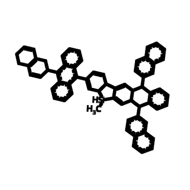 C[SiH]1C2=CC3C(c4ccc5ccccc5c4)c4ccccc4C(c4ccc5ccccc5c4)C3C=C2C2C=CC(c3c4ccccc4c(C4C=CC5=C(C=CCC5)C4)c4ccccc34)=CC21